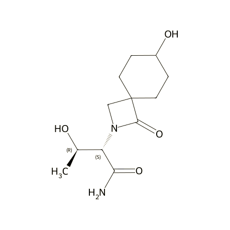 C[C@@H](O)[C@@H](C(N)=O)N1CC2(CCC(O)CC2)C1=O